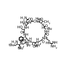 CC[C@H](C)[C@@H]1NC(=O)[C@@H](CCCNC(=N)N)NC(=O)[C@H](CC(C)C)NC(=O)[C@H]([C@H](O)C(C)C)NC(=O)[C@@H](NC(=O)[C@H](CC(C)(C)C)NC(=O)[C@H](N)CC(C)(C)C)[C@@H](c2cccnc2)NC(=O)C(CO)NC(=O)C([C@H](O)C(N)=O)NC(=O)CNC(=O)[C@H]([C@H](C)O)NC1=O